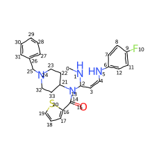 CNC(/C=C\Nc1ccc(F)cc1)N(C(=O)c1cccs1)C1CCN(Cc2ccccc2)CC1